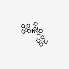 c1ccc(-c2cc(-c3ccc4c(c3)C(c3ccccc3)(c3ccccc3)c3ccccc3-4)nc(-c3ccc(-c4ccc5c(c4)C(c4ccccc4)(c4ccccc4)c4ccccc4-5)c4ccccc34)n2)cc1